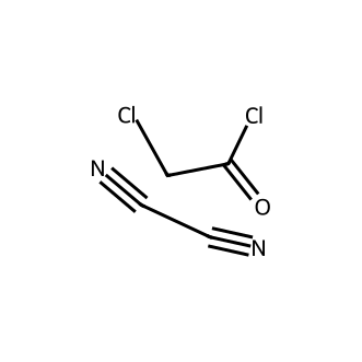 N#CC#N.O=C(Cl)CCl